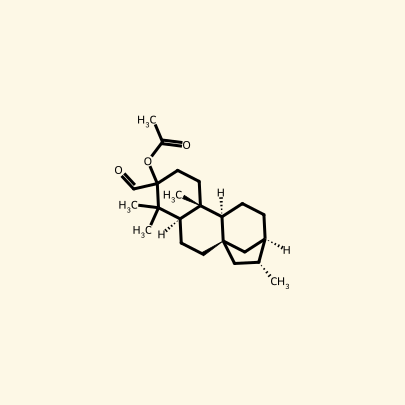 CC(=O)OC1(C=O)CC[C@@]2(C)[C@@H](CC[C@]34C[C@@H](CC[C@@H]32)[C@H](C)C4)C1(C)C